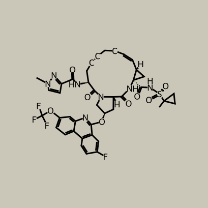 Cn1ccc(C(=O)N[C@H]2CCCCC/C=C\[C@@H]3C[C@@]3(C(=O)NS(=O)(=O)C3(C)CC3)NC(=O)[C@@H]3C[C@@H](Oc4nc5cc(OC(F)(F)F)ccc5c5ccc(F)cc45)CN3C2=O)n1